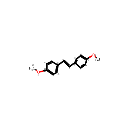 CCOc1ccc(C=Cc2ccc(OC(F)(F)F)cc2)cc1